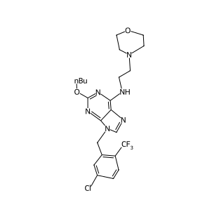 CCCCOc1nc(NCCN2CCOCC2)c2ncn(Cc3cc(Cl)ccc3C(F)(F)F)c2n1